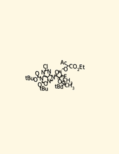 CCOC(=O)C(OC[C@H]1O[C@@H](n2cnc3c(N(C(=O)OC(C)(C)C)C(=O)OC(C)(C)C)nc(Cl)nc32)[C@H](O[Si](C)(C)C(C)(C)C)[C@@H]1F)C(C)=O